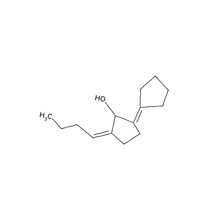 CCC/C=C1/CCC(=C2CCCC2)C1O